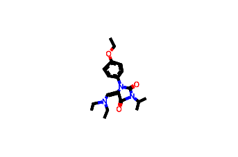 CCOc1ccc(N2C(=O)N(C(C)C)C(=O)C2=CN(CC)CC)cc1